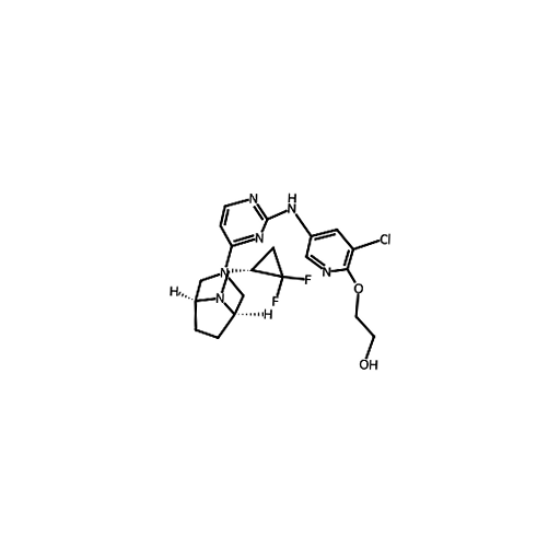 OCCOc1ncc(Nc2nccc(N3C[C@H]4CC[C@@H](C3)N4C[C@@H]3CC3(F)F)n2)cc1Cl